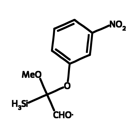 COC([SiH3])([C]=O)Oc1cccc([N+](=O)[O-])c1